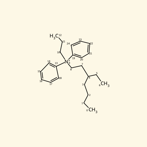 CCCCC(CC)CC[N+](CCC)(c1ccccc1)c1ccccc1